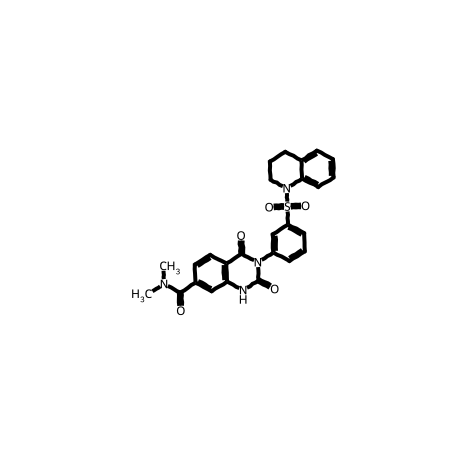 CN(C)C(=O)c1ccc2c(=O)n(-c3cccc(S(=O)(=O)N4CCCc5ccccc54)c3)c(=O)[nH]c2c1